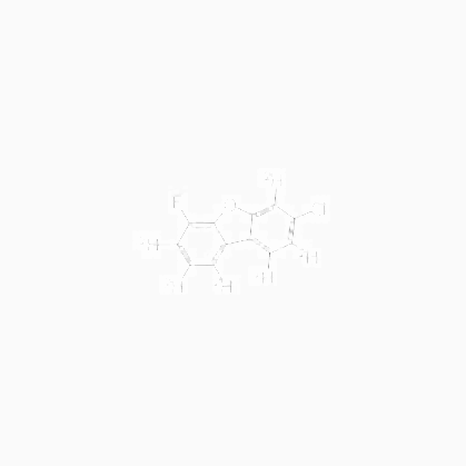 [2H]c1c([2H])c([2H])c2c(oc3c([2H])c(Cl)c([2H])c([2H])c32)c1F